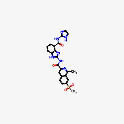 Cc1nc(C(=O)Nc2nc3c(C(=O)Nc4ncc[nH]4)cccc3[nH]2)cc2ccc(S(C)(=O)=O)cc12